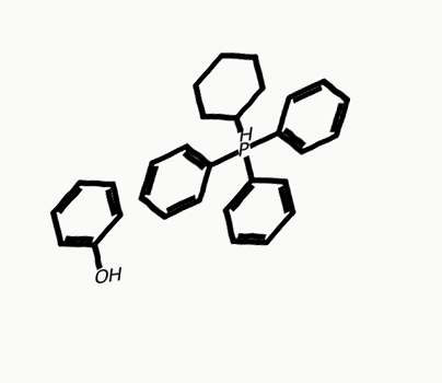 Oc1ccccc1.c1ccc([PH](c2ccccc2)(c2ccccc2)C2CCCCC2)cc1